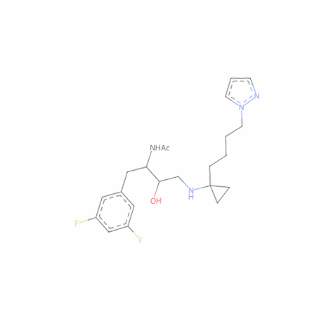 CC(=O)NC(Cc1cc(F)cc(F)c1)C(O)CNC1(CCCCn2cccn2)CC1